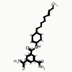 CCCCCCCCCC1CCC(NC(=O)c2cc(C(N)=O)cc(C(N)=O)c2)CC1